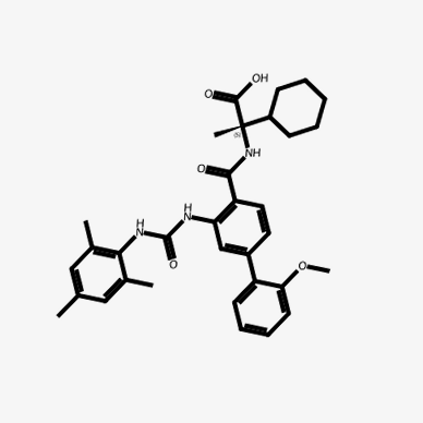 COc1ccccc1-c1ccc(C(=O)N[C@](C)(C(=O)O)C2CCCCC2)c(NC(=O)Nc2c(C)cc(C)cc2C)c1